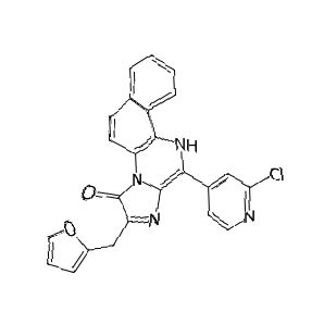 O=c1c(Cc2ccco2)nc2c(-c3ccnc(Cl)c3)[nH]c3c4ccccc4ccc3n1-2